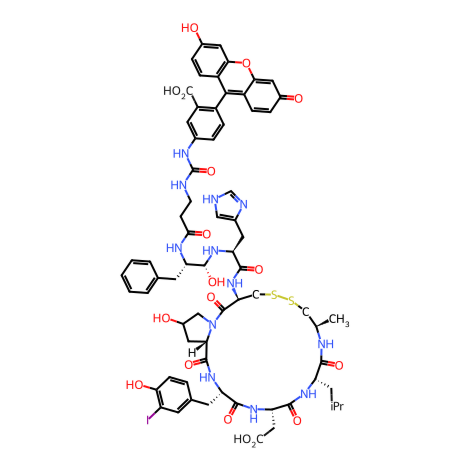 CC(C)C[C@@H]1NC(=O)[C@H](CC(=O)O)NC(=O)[C@H](Cc2ccc(O)c(I)c2)NC(=O)[C@@H]2CC(O)CN2C(=O)[C@@H](NC(=O)[C@H](Cc2c[nH]cn2)N[C@H](O)[C@H](Cc2ccccc2)NC(=O)CCNC(=O)Nc2ccc(-c3c4ccc(=O)cc-4oc4cc(O)ccc34)c(C(=O)O)c2)CSSC[C@@H](C)NC1=O